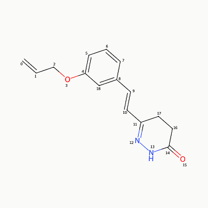 C=CCOc1cccc(C=CC2=NNC(=O)CC2)c1